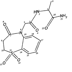 CC(NC(=O)CN1C(=O)CCS(=O)(=O)c2ccccc21)C(N)=O